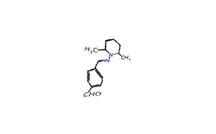 CC1CCCC(C)N1/N=C/c1ccc(C=O)cc1